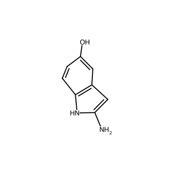 Nc1cc2cc(O)ccc2[nH]1